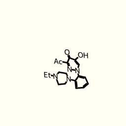 CCN1CCN(c2ccccc2-n2cc(O)c(=O)c(C(C)=O)n2)CC1